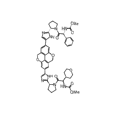 COC(=O)NC(C(=O)N1CCC[C@H]1c1ncc(-c2cc3c4c(c2)OCc2cc(-c5cnc([C@@H]6CCCN6C(=O)[C@H](NC(=O)OC)c6ccccc6)[nH]5)cc(c2-4)OC3)[nH]1)C1CCOCC1